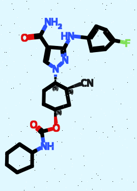 N#C[C@H]1C[C@@H](OC(=O)NC2CCCCC2)CC[C@@H]1n1cc(C(N)=O)c(Nc2ccc(F)cc2)n1